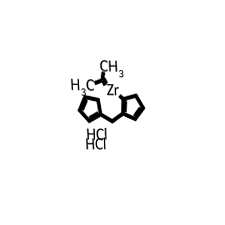 C[C](C)=[Zr][C]1=C(CC2=CC=CC2)C=CC1.Cl.Cl